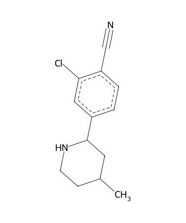 CC1CCNC(c2ccc(C#N)c(Cl)c2)C1